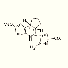 COc1ccc2c(c1)[C@@H]1CCC[C@@H]1[C@H](c1cc(C(=O)O)nn1C)N2